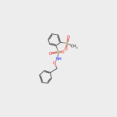 CS(=O)(=O)c1ccccc1S(=O)(=O)NOCc1ccccc1